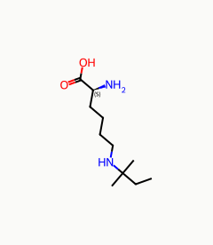 CCC(C)(C)NCCCC[C@H](N)C(=O)O